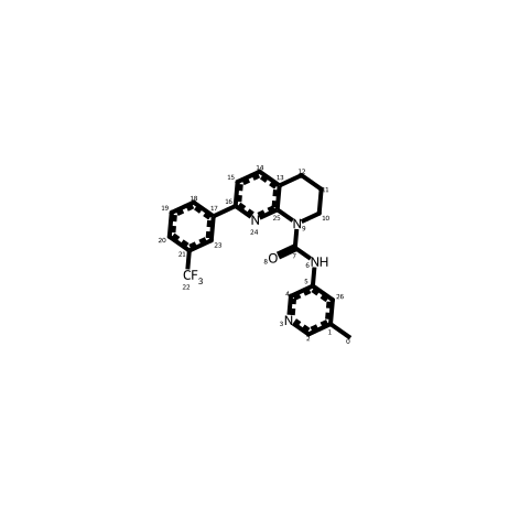 Cc1cncc(NC(=O)N2CCCc3ccc(-c4cccc(C(F)(F)F)c4)nc32)c1